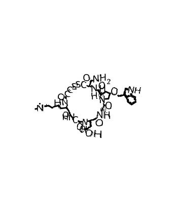 C[C@@H]1NC(=O)C(CC(=O)O)NC(=O)CNC(=O)C(CCCC[N+](C)(C)C)NC(=O)CCSSCC(C(N)=O)NC(=O)[C@@H]2CC(OCc3c[nH]c4ccccc34)CN2C1=O